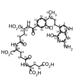 CN(CCc1c[nH]c2nc(N)nc(O)c12)c1ccc(C(=O)N[C@@H](CCC(=O)N[C@@H](CCC(=O)N[C@@H](CCC(=O)O)C(=O)O)C(=O)O)C(=O)O)cc1Cl